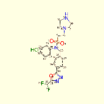 Cl.O=S(=O)(CCN1CCNCC1)N(Cc1ccc(-c2nnc(C(F)F)o2)cc1)c1ccccc1